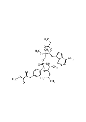 CCC(=O)O[C@@H](Cc1ccc2c(N)ncnn12)[C@@](C)(COP(=O)(N[C@@H](C)C(=O)OC(C)C)Oc1ccc(C[C@H](N)C(=O)OC)cc1)OC